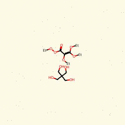 CCOOC(=O)C(OCC)=C(OCC)OCC.OCC(CO)(CO)CO